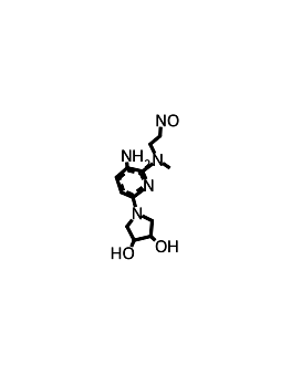 CN(CCN=O)c1nc(N2CC(O)C(O)C2)ccc1N